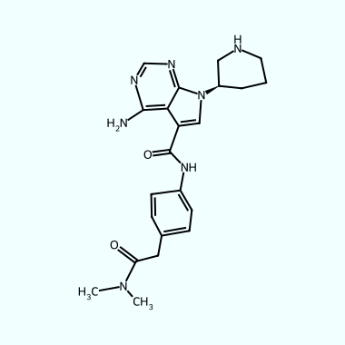 CN(C)C(=O)Cc1ccc(NC(=O)c2cn([C@@H]3CCCNC3)c3ncnc(N)c23)cc1